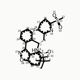 CC(C)(C)[S+]([O-])N[C@@H](Cc1nc(S(C)(=O)=O)ccc1F)c1ccccc1-c1noc2ccc(F)cc12